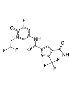 NC(=O)c1cc(C(=O)Nc2cc(F)c(=O)n(CC(F)F)c2)sc1C(F)(F)F